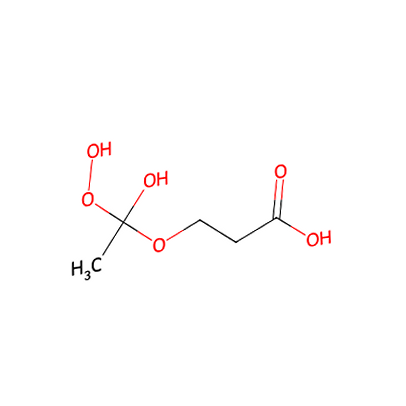 CC(O)(OO)OCCC(=O)O